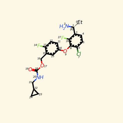 CC[C@@H](N)c1ccc(Cl)c(Oc2ccc(F)c(COC(=O)NCC3CC3)c2)c1F